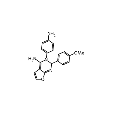 COc1ccc(C2N=c3occc3=C(N)N2c2ccc(N)cc2)cc1